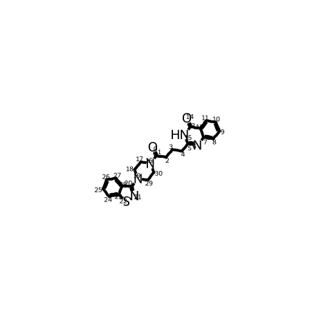 O=C(CCCc1nc2ccccc2c(=O)[nH]1)N1CCN(c2nsc3ccccc23)CC1